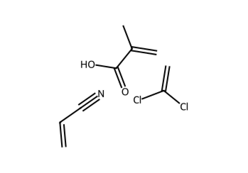 C=C(C)C(=O)O.C=C(Cl)Cl.C=CC#N